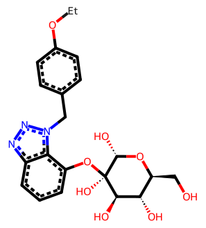 CCOc1ccc(Cn2nnc3cccc(O[C@@]4(O)[C@H](O)O[C@@H](CO)[C@H](O)[C@H]4O)c32)cc1